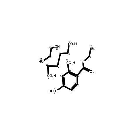 CC(C)(C)COC(=O)c1ccc(C(=O)O)cc1C(=O)O.O=C(O)CCCCC(=O)O.OCCO